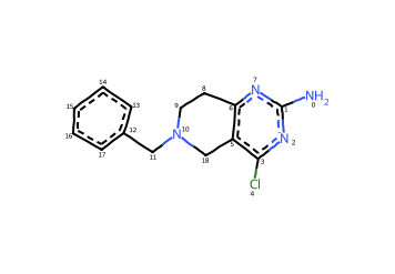 Nc1nc(Cl)c2c(n1)CCN(Cc1ccccc1)C2